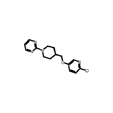 Clc1ccc(OCC2CCN(c3ncccn3)CC2)cn1